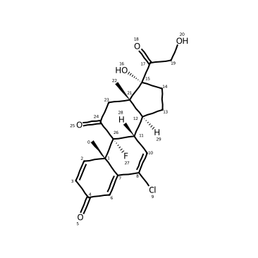 C[C@]12C=CC(=O)C=C1C(Cl)=C[C@H]1[C@@H]3CC[C@](O)(C(=O)CO)[C@@]3(C)CC(=O)[C@@]12F